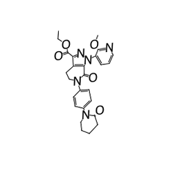 CCOC(=O)c1nn(-c2cccnc2OC)c2c1CCN(c1ccc(N3CCCCC3=O)cc1)C2=O